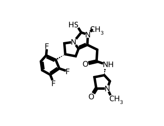 CN1C[C@@H](NC(=O)CC2=C3C[C@H](c4c(F)ccc(F)c4F)CN3C(S)N2C)CC1=O